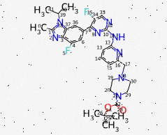 Cc1nc2c(F)cc(-c3nc(Nc4cccc(CN5CCN(C(=O)OC(C)(C)C)CC5)n4)ncc3F)cc2n1C(C)C